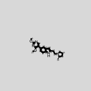 COc1ncc(-c2ccc3[nH]c(CCN4CCC[C@H]4C)cc3c2)c(OC)n1